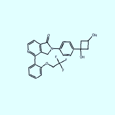 O=C1c2ccnc(-c3ccccc3OCC(F)(F)F)c2CN1c1ccc(C2(O)CC(O)C2)cc1